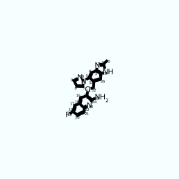 Cc1nc2cc(-n3cccn3)c(COc3cc4cc(F)ccc4nc3N)cc2[nH]1